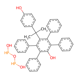 CC(C)(c1ccc(O)cc1)c1c(-c2ccccc2)c(-c2ccccc2)c(O)c(-c2ccccc2)c1-c1ccccc1.OPOPO